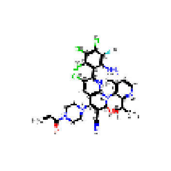 C=CC(=O)N1CCN(C2=C(C#N)C(O)N(c3c(C)ccnc3C(C)C)c3nc(-c4c(N)c(F)c(Cl)c(Cl)c4Cl)c(Cl)cc32)CC1